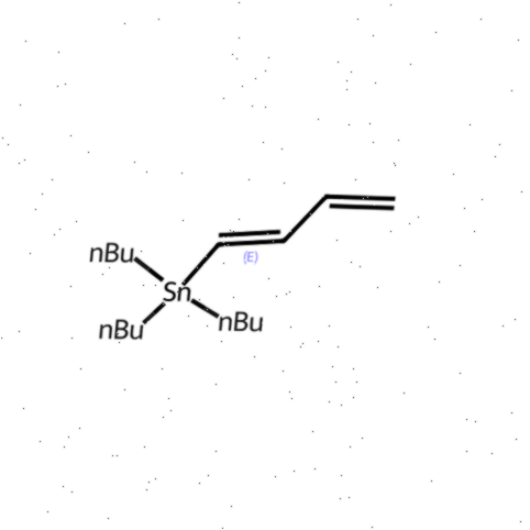 C=C/C=[CH]/[Sn]([CH2]CCC)([CH2]CCC)[CH2]CCC